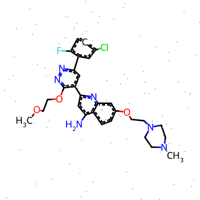 COCCOc1nnc(-c2cc(Cl)ccc2F)cc1-c1cc(N)c2ccc(OCCN3CCN(C)CC3)cc2n1